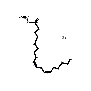 CCCCC/C=C\C/C=C\CCCCCCCC(=O)OP=O.N